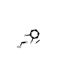 CI.Fc1ccccc1F.O=CO